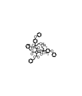 CCC[C@@](C)(NC(=O)C1C(C(=O)N[C@](C)(CCC)c2ccc(Oc3ccccc3)cc2)C(C(=O)OCc2ccccc2)C1C(=O)OCc1ccccc1)c1ccc(Oc2ccccc2)cc1